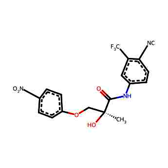 [C-]#[N+]c1ccc(NC(=O)[C@@](C)(O)COc2ccc([N+](=O)[O-])cc2)cc1C(F)(F)F